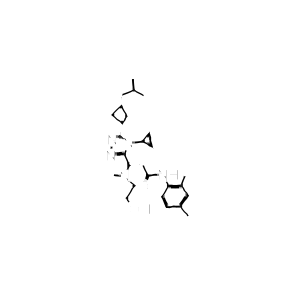 Cc1ccc(NC(=O)C[C@@H](c2nnc([C@H]3C[C@@H](CC(C)C)C3)n2C2CC2)N(C)CCO)c(C)c1